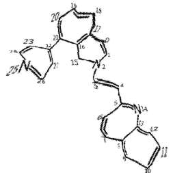 C1=CN(/C=C/c2ccc3ccccc3n2)Cc2c1cccc2-c1ccncc1